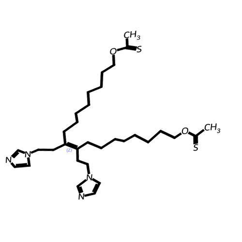 CC(=S)OCCCCCCCC/C(CCn1ccnc1)=C(\CCCCCCCCOC(C)=S)CCn1ccnc1